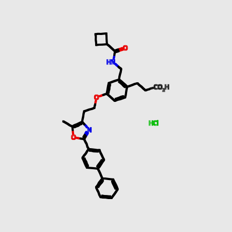 Cc1oc(-c2ccc(-c3ccccc3)cc2)nc1CCOc1ccc(CCC(=O)O)c(CNC(=O)C2CCC2)c1.Cl